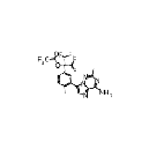 Cc1nc(N)c2ncc(-c3cc(C(OC(=O)C(F)(F)F)(C(F)F)C(F)F)ccc3C)n2n1